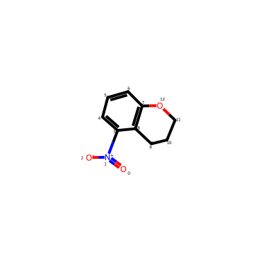 O=[N+]([O-])c1cccc2c1[C]CCO2